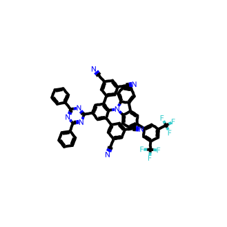 N#Cc1cc(C#N)cc(-c2cc(-c3nc(-c4ccccc4)nc(-c4ccccc4)n3)cc(-c3cc(C#N)cc(C#N)c3)c2-n2c3ccccc3c3cc(-c4cc(C(F)(F)F)cc(C(F)(F)F)c4)ccc32)c1